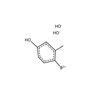 [B+2]c1ccc(O)cc1C.[OH-].[OH-]